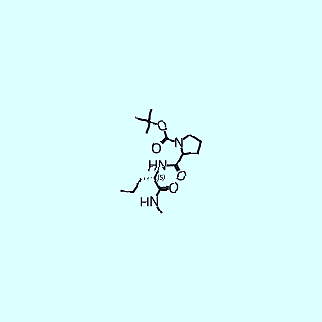 CCC[C@H](NC(=O)C1CCCN1C(=O)OC(C)(C)C)C(=O)NC